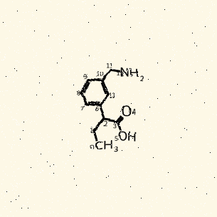 CCC(C(=O)O)c1cccc(CN)c1